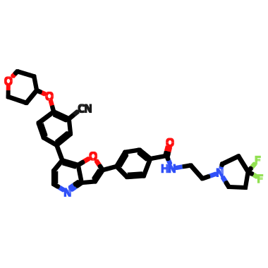 N#Cc1cc(-c2ccnc3cc(-c4ccc(C(=O)NCCN5CCC(F)(F)CC5)cc4)oc23)ccc1OC1CCOCC1